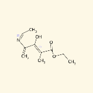 C=C(/N=C\C)/C(O)=C(\C)C(=O)OCC